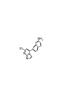 CCc1cc(-c2ccc3ccc(N)cc3c2)n2ccnc2n1